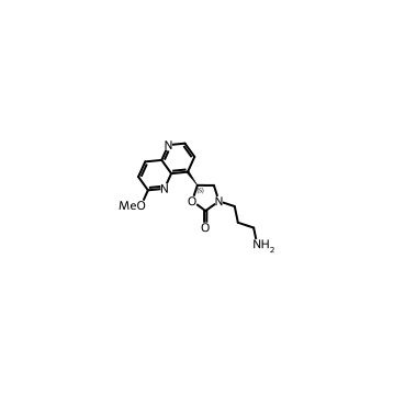 COc1ccc2nccc([C@H]3CN(CCCN)C(=O)O3)c2n1